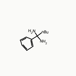 CCCCC(N)(N)c1ccccc1